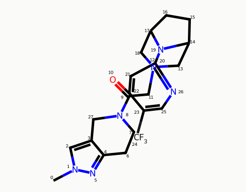 Cn1cc2c(n1)CCN(C(=O)CN1CC3CCC(C1)N3c1ccc(C(F)(F)F)cn1)C2